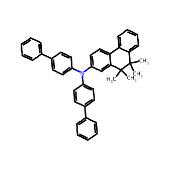 CC1(C)c2ccccc2-c2ccc(N(c3ccc(-c4ccccc4)cc3)c3ccc(-c4ccccc4)cc3)cc2C1(C)C